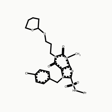 CC(C)NS(=O)(=O)c1nc2c(c(=O)n(CCCOC3CCCCO3)c(=O)n2C)n1Cc1ccc(Cl)cc1